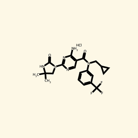 CC1(C)CN(c2ncc(C(=O)N(CC3CC3)c3cccc(C(F)(F)F)c3)c(N)n2)C(=O)N1.Cl